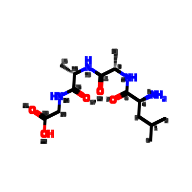 CC(C)C[C@H](N)C(=O)N[C@@H](C)C(=O)N[C@@H](C)C(=O)NCC(=O)O